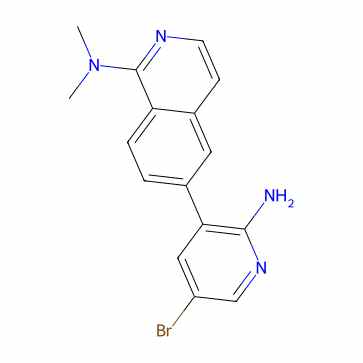 CN(C)c1nccc2cc(-c3cc(Br)cnc3N)ccc12